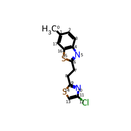 Cc1ccc2nc(CCc3nc(Cl)cs3)sc2c1